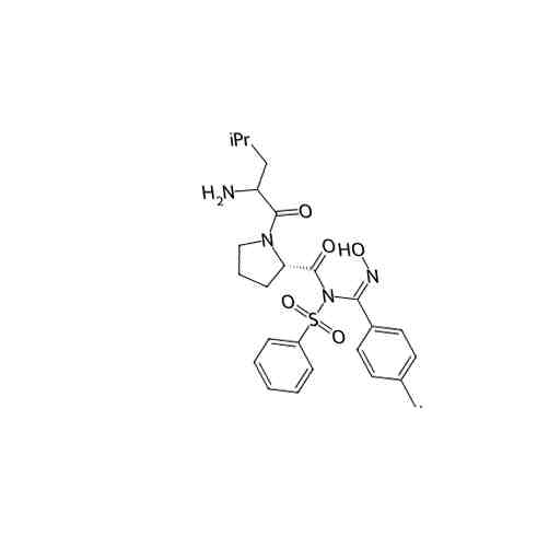 [CH2]c1ccc(C(=NO)N(C(=O)[C@@H]2CCCN2C(=O)C(N)CC(C)C)S(=O)(=O)c2ccccc2)cc1